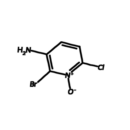 Nc1ccc(Cl)[n+]([O-])c1Br